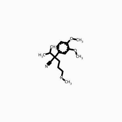 C[N]CCCC(C#N)(c1ccc(OC)c(OC)c1)C(C)C